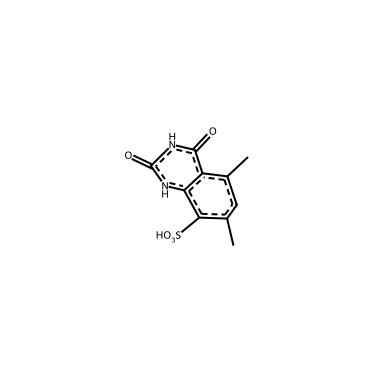 Cc1cc(C)c2c(=O)[nH]c(=O)[nH]c2c1S(=O)(=O)O